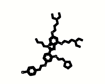 CCCCn1c(-c2ccc(OCCc3ccc(Cl)cc3)cc2OCCN2CCCC2)nc2c(OCCCN(CC)CC)cc(OCCCN(CC)CC)cc21